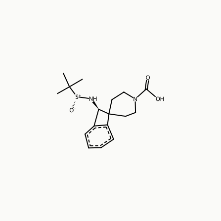 CC(C)(C)[S@@+]([O-])N[C@@H]1c2ccccc2C12CCN(C(=O)O)CC2